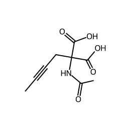 CC#CCC(NC(C)=O)(C(=O)O)C(=O)O